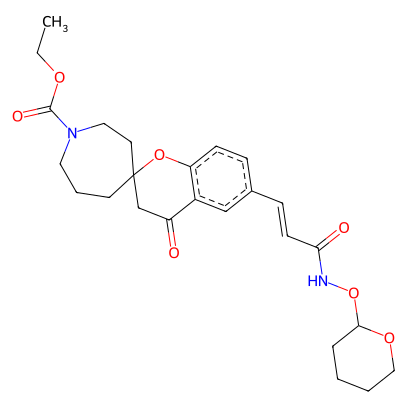 CCOC(=O)N1CCCC2(CC1)CC(=O)c1cc(C=CC(=O)NOC3CCCCO3)ccc1O2